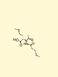 CSCCC(=O)NN(C(C)=O)[C@@H](CCSC)C(=O)O